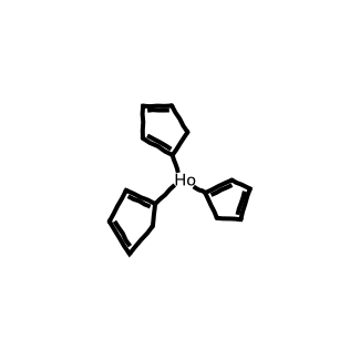 C1=CC[C]([Ho]([C]2=CC=CC2)[C]2=CC=CC2)=C1